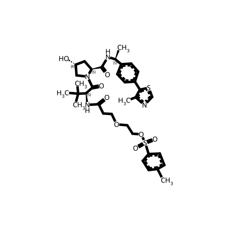 Cc1ccc(S(=O)(=O)OCCOCCC(=O)N[C@H](C(=O)N2C[C@H](O)C[C@H]2C(=O)N[C@@H](C)c2ccc(-c3scnc3C)cc2)C(C)(C)C)cc1